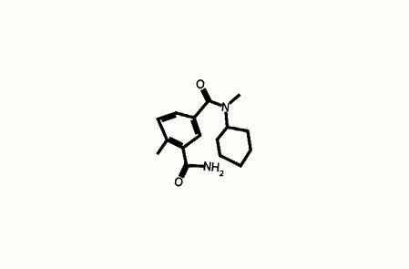 Cc1ccc(C(=O)N(C)C2CCCCC2)cc1C(N)=O